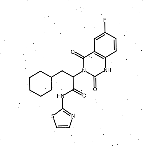 O=C(Nc1nccs1)C(CC1CCCCC1)n1c(=O)[nH]c2ccc(F)cc2c1=O